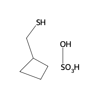 O=S(=O)(O)O.SCC1CCC1